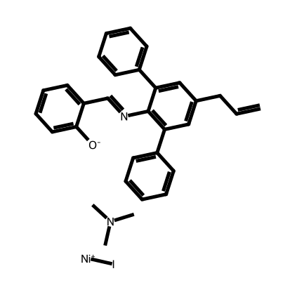 C=CCc1cc(-c2ccccc2)c(N=Cc2ccccc2[O-])c(-c2ccccc2)c1.CN(C)C.[Ni+][I]